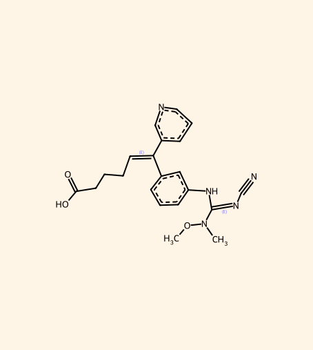 CON(C)/C(=N/C#N)Nc1cccc(/C(=C\CCCC(=O)O)c2cccnc2)c1